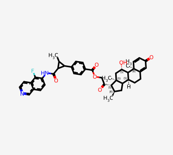 CC1C(C(=O)Nc2ccc3cnccc3c2F)C1c1ccc(C(=O)OCC(=O)[C@H]2[C@H](C)CC3[C@@H]4CCC5=CC(=O)C=C[C@]5(C)C4[C@@H](O)C[C@@]32C)cc1